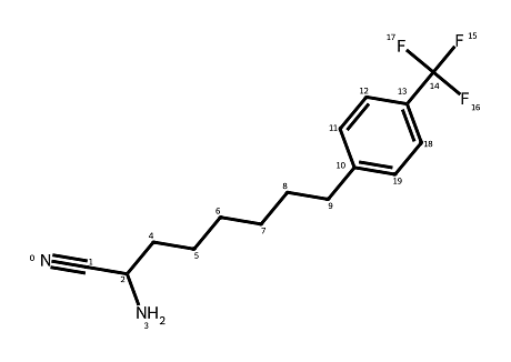 N#CC(N)CCCCCCc1ccc(C(F)(F)F)cc1